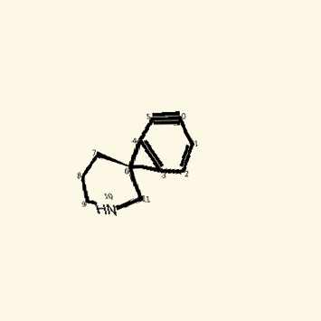 c1ccc2c(c#1)[C@]21CCCNC1